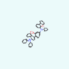 c1ccc(N(c2ccccc2)c2ccc3c4c(cccc24)Oc2cc(N(c4ccccc4)c4cccc5c4oc4ccccc45)ccc2-3)cc1